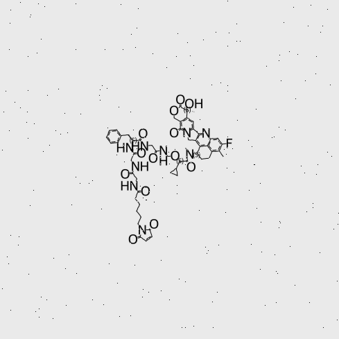 Cc1c(F)cc2nc3c(c4c2c1CC[C@@H]4N(C)C(=O)[C@@H](OCNC(=O)CNC(=O)[C@H](Cc1ccccc1)NC(=O)CNC(=O)CNC(=O)CCCCCN1C(=O)C=CC1=O)C1CC1)Cn1c-3cc2c(c1=O)COC(=O)[C@@]2(C)O